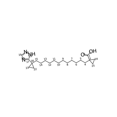 O=C(O)C1(CCCCCCCCCCCCC2(c3ncn[nH]3)CC2)CC1